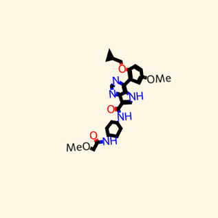 COCC(=O)N[C@H]1CC[C@@H](NC(=O)c2c[nH]c3c(-c4cc(OC)ccc4OCC4CC4)ncnc23)CC1